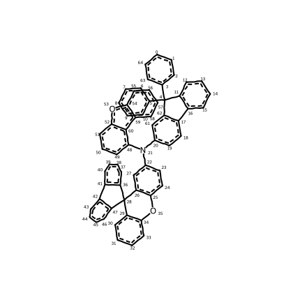 c1ccc(C2(c3ccccc3)c3ccccc3-c3ccc(N(c4ccc5c(c4)C4(c6ccccc6O5)c5ccccc5-c5ccccc54)c4cccc5oc6ccccc6c45)cc32)cc1